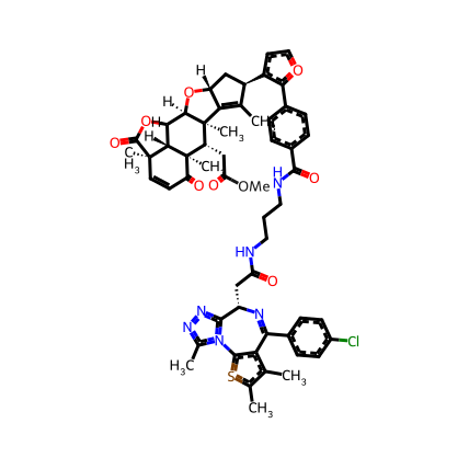 COC(=O)C[C@H]1[C@]2(C)C3=C(C)[C@H](c4ccoc4-c4ccc(C(=O)NCCCNC(=O)C[C@@H]5N=C(c6ccc(Cl)cc6)c6c(sc(C)c6C)-n6c(C)nnc65)cc4)C[C@H]3O[C@@H]2[C@@H]2OC(=O)[C@]3(C)C=CC(=O)[C@@]1(C)[C@@H]23